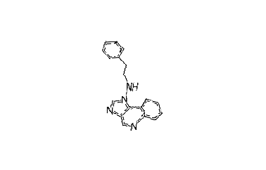 c1ccc(CCNn2cnc3cnc4ccccc4c32)cc1